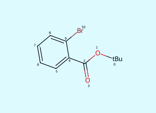 CC(C)(C)OC(=O)c1cc[c]cc1Br